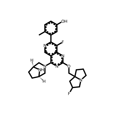 Cc1ccc(O)cc1-c1ncc2c(N3C[C@H]4CC[C@@H](C3)N4)nc(OCC34CCCN3CC(F)C4)nc2c1F